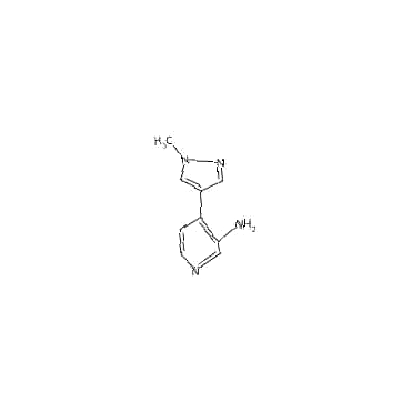 Cn1cc(-c2ccncc2N)cn1